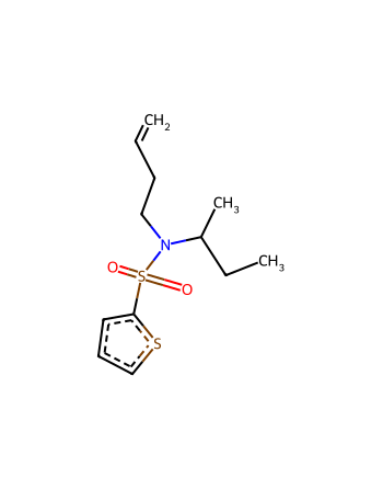 C=CCCN(C(C)CC)S(=O)(=O)c1cccs1